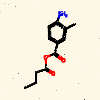 CCCC(=O)OC(=O)c1ccc(N)c(C)c1